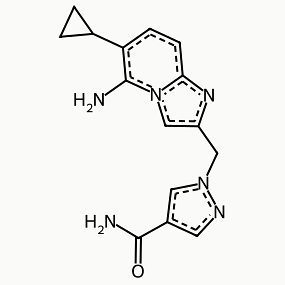 NC(=O)c1cnn(Cc2cn3c(N)c(C4CC4)ccc3n2)c1